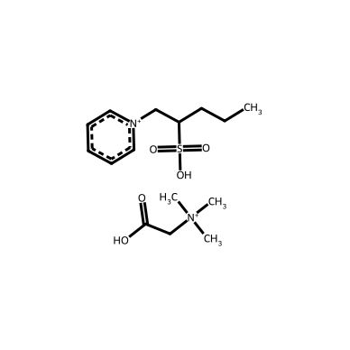 CCCC(C[n+]1ccccc1)S(=O)(=O)O.C[N+](C)(C)CC(=O)O